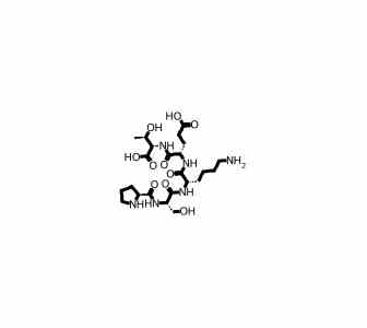 C[C@@H](O)[C@H](NC(=O)[C@H](CCC(=O)O)NC(=O)[C@H](CCCCN)NC(=O)[C@H](CO)NC(=O)[C@@H]1CCCN1)C(=O)O